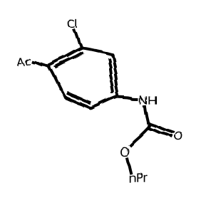 CCCOC(=O)Nc1ccc(C(C)=O)c(Cl)c1